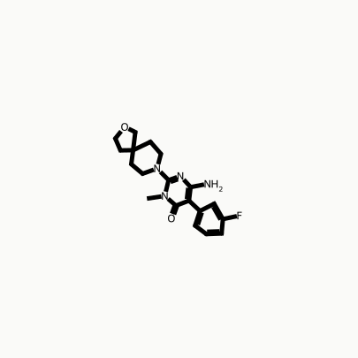 Cn1c(N2CCC3(CCOC3)CC2)nc(N)c(-c2cccc(F)c2)c1=O